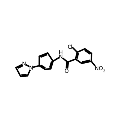 O=C(Nc1ccc(-n2cccn2)cc1)c1cc([N+](=O)[O-])ccc1Cl